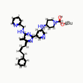 C=c1c(NCc2ccccn2)nc(-c2cncc(NC3CCN(C(=O)OC(C)(C)C)CC3)c2)n/c1=C/C=C\Cc1ccccc1